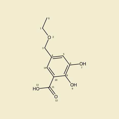 CCOCc1cc(O)c(O)c(C(=O)O)c1